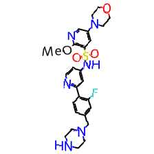 COc1ncc(N2CCOCC2)cc1S(=O)(=O)Nc1ccnc(-c2ccc(CN3CCNCC3)cc2F)c1